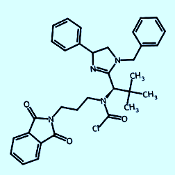 CC(C)(C)[C@H](C1=NC(c2ccccc2)CN1Cc1ccccc1)N(CCCN1C(=O)c2ccccc2C1=O)C(=O)Cl